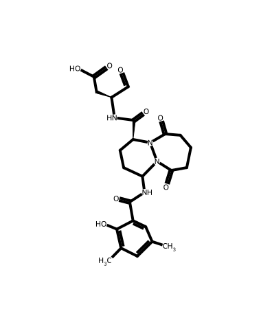 Cc1cc(C)c(O)c(C(=O)NC2CC[C@@H](C(=O)N[C@H](C=O)CC(=O)O)N3C(=O)CCCC(=O)N23)c1